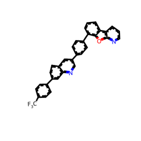 FC(F)(F)c1ccc(-c2ccc3cc(-c4ccc(-c5cccc6c5oc5ncccc56)cc4)cnc3c2)cc1